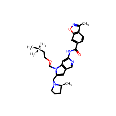 Cc1noc2cc(C(=O)Nc3cc4c(cn3)cc(CN3CCC[C@@H]3C)n4COCC[Si](C)(C)C)ccc12